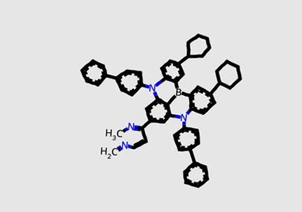 C=N/C=C\C(=N/C)c1cc2c3c(c1)N(c1ccc(-c4ccccc4)cc1)c1ccc(C4CCCCC4)cc1B3c1cc(C3CCCCC3)ccc1N2c1ccc(-c2ccccc2)cc1